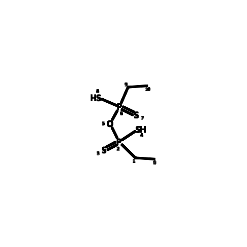 CCP(=S)(S)OP(=S)(S)CC